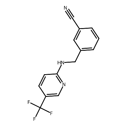 N#Cc1cccc(CNc2ccc(C(F)(F)F)cn2)c1